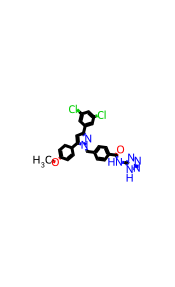 COC1=CCC(c2cc(-c3cc(Cl)cc(Cl)c3)nn2Cc2ccc(C(=O)Nc3nnn[nH]3)cc2)C=C1